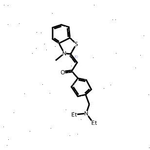 CCN(CC)Cc1ccc(C(=O)/C=C2/Sc3ccccc3N2C)cc1